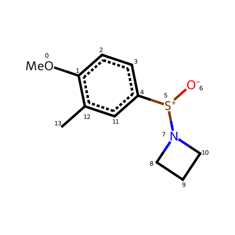 COc1ccc([S+]([O-])N2CCC2)cc1C